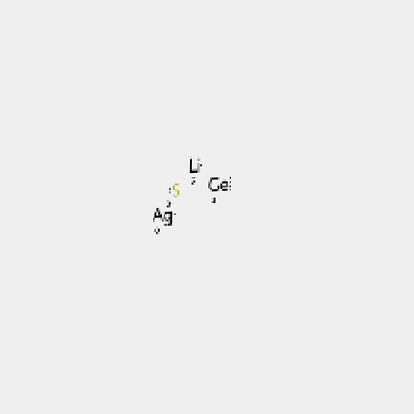 [Ag].[Ge].[Li].[S]